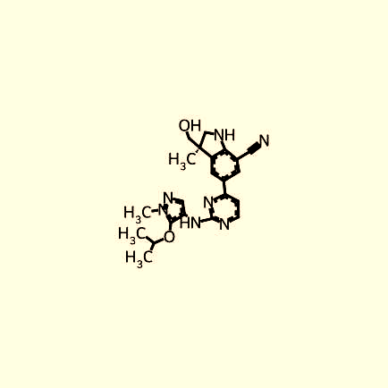 CC(C)Oc1c(Nc2nccc(-c3cc(C#N)c4c(c3)[C@@](C)(CO)CN4)n2)cnn1C